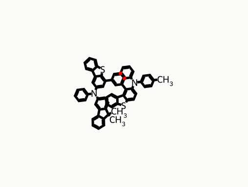 Cc1ccc(N(c2ccccc2)c2ccc3sc4ccccc4c3c2-c2cccc(-c3cc(N(c4ccccc4)c4ccc5c(c4)-c4ccccc4C5(C)C)cc4c3sc3ccccc34)c2)cc1